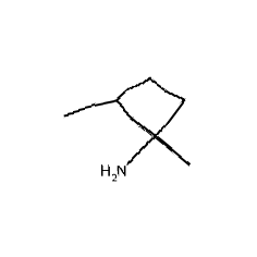 CC1CCC1(C)N